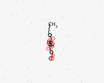 CCCCCCc1ccc(C(=O)O[C@@H]2CO[C@H]3[C@@H]2OC[C@H]3OC(=O)c2ccc(OC3CCCCO3)cc2)cc1